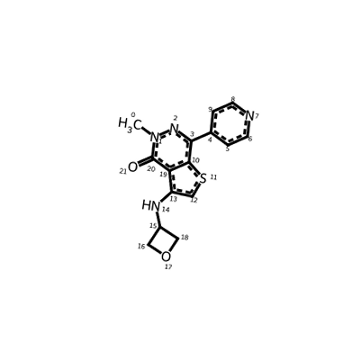 Cn1nc(-c2ccncc2)c2scc(NC3COC3)c2c1=O